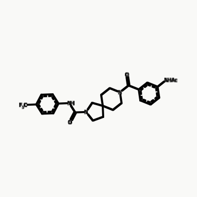 CC(=O)Nc1cccc(C(=O)N2CCC3(CCN(C(=O)Nc4ccc(C(F)(F)F)cc4)C3)CC2)c1